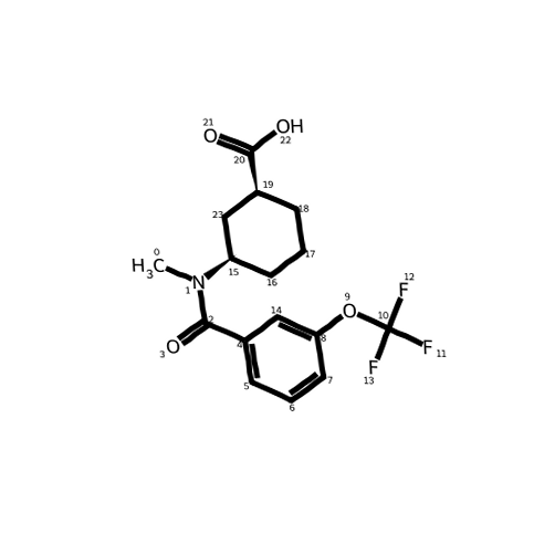 CN(C(=O)c1cccc(OC(F)(F)F)c1)[C@@H]1CCC[C@H](C(=O)O)C1